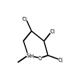 C[SiH]1CC(Cl)C(Cl)C(Cl)O1